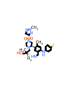 Cc1cc(Nc2ccc(F)cc2)c(C=N)cc1[C@@H]1CN(S(=O)(=O)c2cnn(C)n2)CCN1CC(C)(C)CO